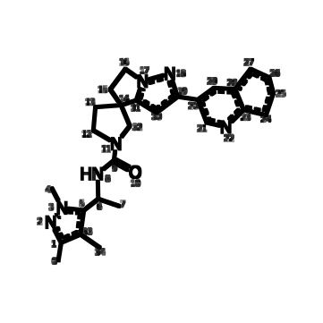 Cc1nn(C)c(C(C)NC(=O)N2CCC3(CCn4nc(-c5cnc6ccccc6c5)cc43)C2)c1C